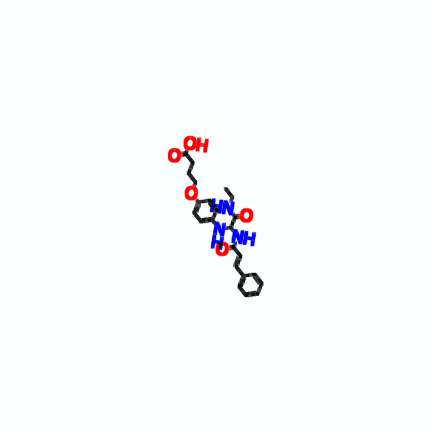 CCNC(=O)C(NC(=O)C=Cc1ccccc1)Nc1ccc(OCCCC(=O)O)cc1